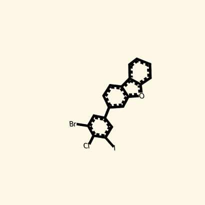 Clc1c(Br)cc(-c2ccc3c(c2)oc2ccccc23)cc1I